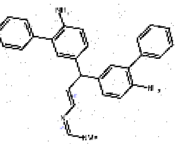 CN/C=N\C=C\C(c1ccc(N)c(-c2ccccc2)c1)c1ccc(N)c(-c2ccccc2)c1